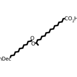 CCCCCCCCCCCCCCCCCCCC(=O)OC(C)CCCCCCCCCCCCCC(=O)O